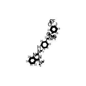 CN(C)c1nc(NC[C@H]2CC[C@H](CNS(=O)(=O)c3cccc(OC(F)(F)F)c3)CC2)nc2ccccc12